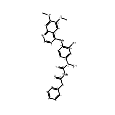 COc1cc2ncnc(Nc3ccc(N(S)C(=O)NC(=O)Cc4ccccc4)cc3F)c2cc1OC